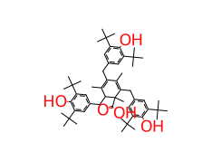 CC1=C(Cc2cc(C(C)(C)C)c(O)c(C(C)(C)C)c2)C(C)(C(=O)O)C(Cc2cc(C(C)(C)C)c(O)c(C(C)(C)C)c2)C(C)=C1Cc1cc(C(C)(C)C)c(O)c(C(C)(C)C)c1